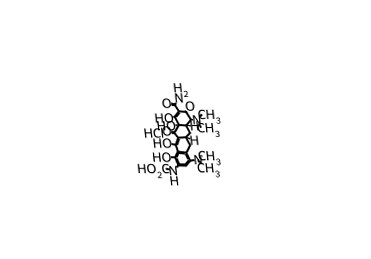 CN(C)c1cc(NC(=O)O)c(O)c2c1C[C@H]1C[C@H]3[C@H](N(C)C)C(=O)C(C(N)=O)=C(O)[C@@]3(O)C(=O)C1=C2O.Cl